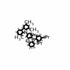 Cc1cc(C)c2c(c1)c1cccc(C)c1n2-c1ccc2c(c1)Oc1ccccc1B2c1c(C(C)C)cc(C(C)C)cc1C(C)C